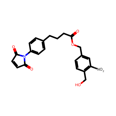 O=C(CCCc1ccc(N2C(=O)C=CC2=O)cc1)OCc1ccc(CO)c([N+](=O)[O-])c1